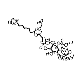 CCCCCCCCCCCCCCCC(=O)O[C@H](COCO)COP(=O)(O)OC1C(O)[C@H](OP(=O)(O)O)[C@H](OP(=O)(O)O)C(O)[C@@H]1O